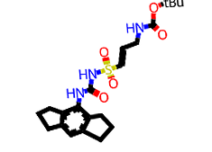 CC(C)(C)OC(=O)NC/C=C/S(=O)(=O)NC(=O)Nc1c2c(cc3c1CCC3)CCC2